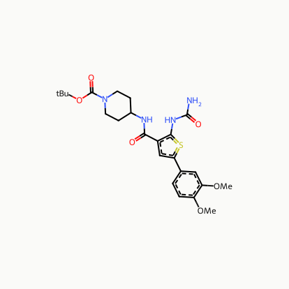 COc1ccc(-c2cc(C(=O)NC3CCN(C(=O)OC(C)(C)C)CC3)c(NC(N)=O)s2)cc1OC